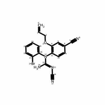 C=CCOc1cc(C#N)ccc1N(C(N)=NC#N)c1ccccc1Br